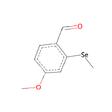 COc1ccc(C=O)c([Se]C)c1